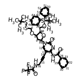 CC(C)(C)SSCOC1C[C@H](n2cc(C#CCNC(=O)C(F)(F)F)c(NC(=O)c3ccccc3)nc2=O)O[C@@H]1CO[Si](c1ccccc1)(c1ccccc1)C(C)(C)C